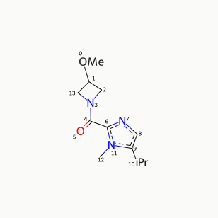 COC1CN(C(=O)c2ncc(C(C)C)n2C)C1